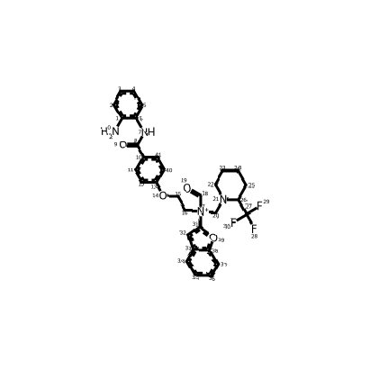 Nc1ccccc1NC(=O)c1ccc(OCC[N+](C=O)(CN2CCCCC2C(F)(F)F)c2cc3ccccc3o2)cc1